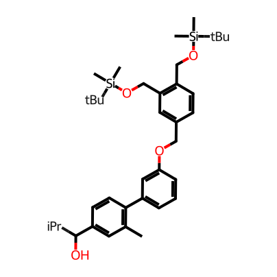 Cc1cc(C(O)C(C)C)ccc1-c1cccc(OCc2ccc(CO[Si](C)(C)C(C)(C)C)c(CO[Si](C)(C)C(C)(C)C)c2)c1